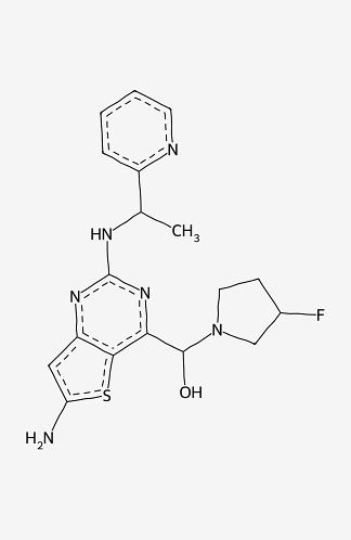 CC(Nc1nc(C(O)N2CCC(F)C2)c2sc(N)cc2n1)c1ccccn1